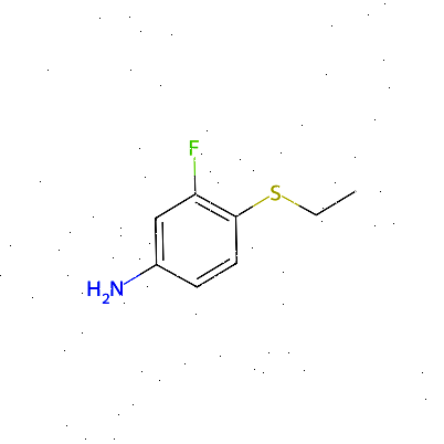 CCSc1ccc(N)cc1F